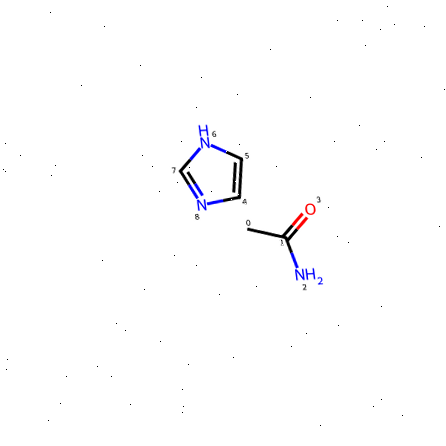 CC(N)=O.c1c[nH]cn1